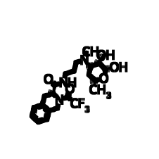 C[C@@H]1C[C@H](N(C)CCCNC(=O)[C@@H]2Cc3ccccc3CN2C(=O)C(F)(F)F)[C@@H](O)[C@H](O)O1